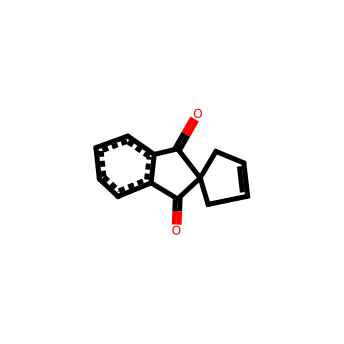 O=C1c2ccccc2C(=O)C12CC=CC2